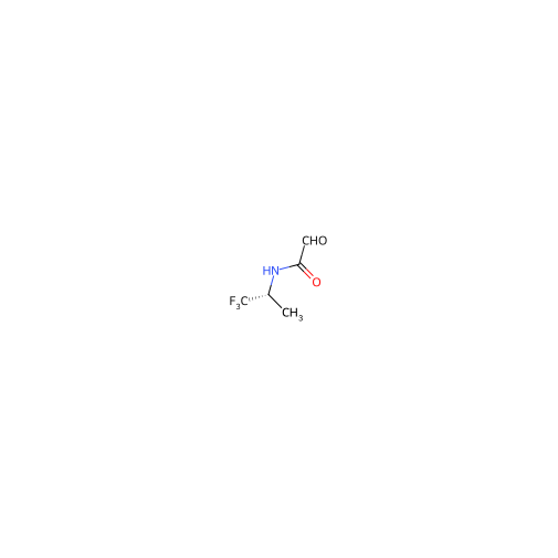 C[C@@H](NC(=O)C=O)C(F)(F)F